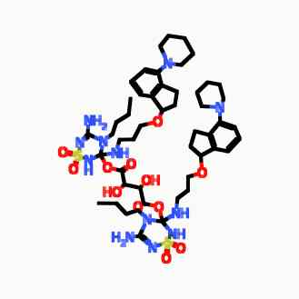 CCCCN1C(N)=NS(=O)(=O)NC1(NCCCOC1CCc2c1cccc2N1CCCCC1)OC(=O)C(O)C(O)C(=O)OC1(NCCCOC2CCc3c2cccc3N2CCCCC2)NS(=O)(=O)N=C(N)N1CCCC